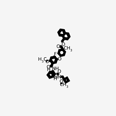 COc1cc(F)c(O[C@H]2CC[C@@](C)(C(=O)OCc3cccc4ccccc34)CC2)cc1C(=O)N[C@H]1[C@@H](C(=O)NCC2(OC)CCC2)[C@@H]2C=C[C@H]1C2